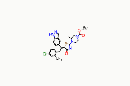 CC1CN(C(=O)OC(C)(C)C)CCN1C1=NC(=O)C(=C(Cc2ccc(Cl)cc2C(F)(F)F)c2ccc3[nH]ncc3c2)S1